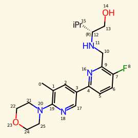 Cc1cc(-c2ccc(F)c(CN[C@@H](CO)C(C)C)n2)cnc1N1CCOCC1